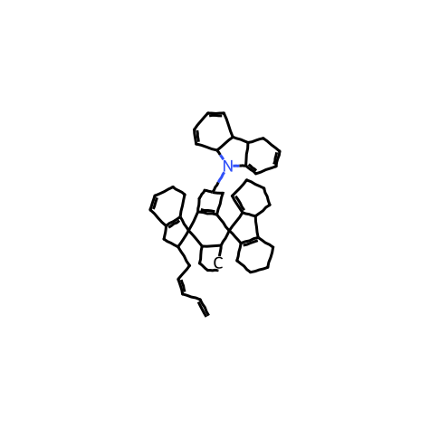 C=C/C=C\CC1CC2=C(CCC=C2)C12C1=C(CC(N3C4=CC=CCC4C4C=CC=CC43)CC1)C1(C3=CCCCC3C3=C1CCCC3)C1CCCCC12